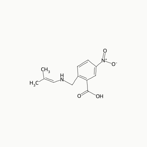 CC(C)=CNCc1ccc([N+](=O)[O-])cc1C(=O)O